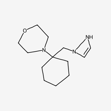 c1cn(CC2(N3CCOCC3)CCCCC2)[nH]1